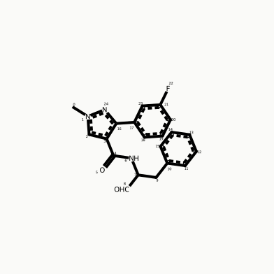 Cn1cc(C(=O)NC(C=O)Cc2ccccc2)c(-c2cccc(F)c2)n1